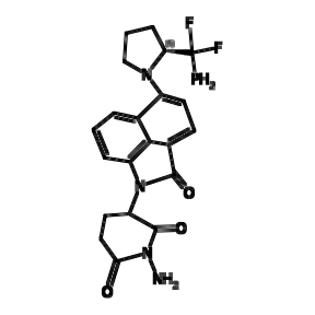 NN1C(=O)CCC(N2C(=O)c3ccc(N4CCC[C@H]4C(F)(F)P)c4cccc2c34)C1=O